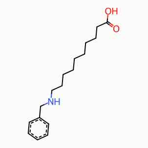 O=C(O)CCCCCCCCCNCc1ccccc1